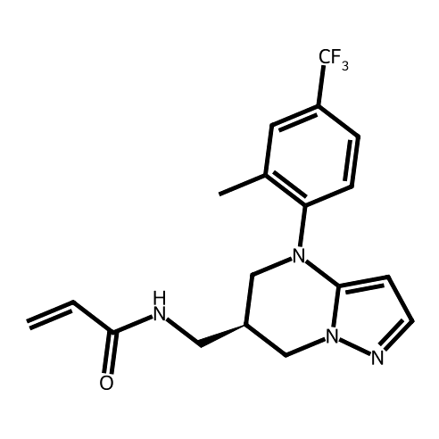 C=CC(=O)NC[C@H]1CN(c2ccc(C(F)(F)F)cc2C)c2ccnn2C1